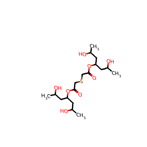 CC(O)CC(CC(C)O)OC(=O)CSCC(=O)OC(CC(C)O)CC(C)O